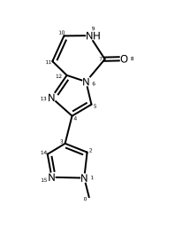 Cn1cc(-c2cn3c(=O)[nH]ccc3n2)cn1